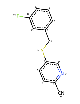 N#Cc1ccc(SCc2cccc(F)c2)cn1